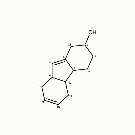 OC1CCC2C(=CC3CC=CCC32)C1